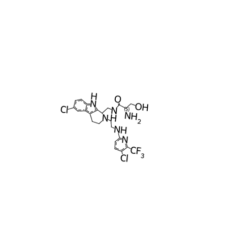 N[C@@H](CO)C(=O)NCC1c2[nH]c3ccc(Cl)cc3c2CCN1CCNc1ccc(Cl)c(C(F)(F)F)n1